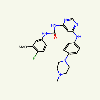 COc1cc(NC(=O)Nc2cc(Nc3ccc(N4CCN(C)CC4)cc3)ncn2)ccc1F